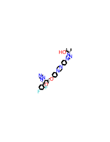 CC[C@@H]([C@H](C)O)N1CN(c2ccc(N3CCN(c4ccc(OC[C@@H]5CO[C@@](Cn6cncn6)(c6ccc(F)cc6F)C5)cc4)CC3)cc2)C=N1